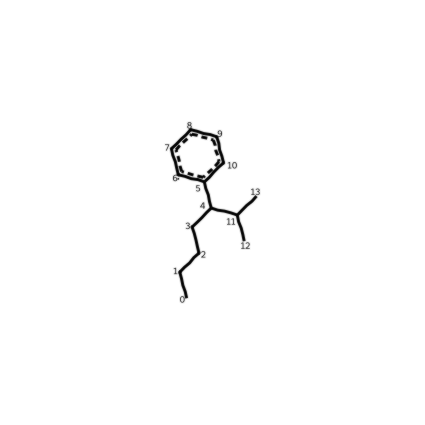 CCCCC(c1[c]cccc1)C(C)C